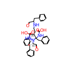 O=CC(Cc1ccccc1)NCC[C@H](Cc1ccccc1)C(Cc1ccccc1)(NC(=O)O)N(NC(=O)O)[C@H](C=O)Cc1ccccc1